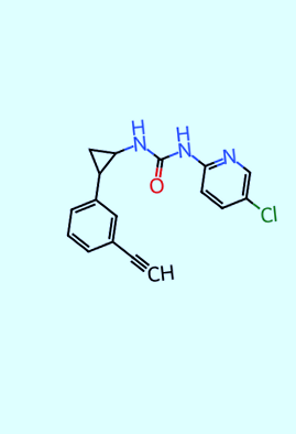 C#Cc1cccc(C2CC2NC(=O)Nc2ccc(Cl)cn2)c1